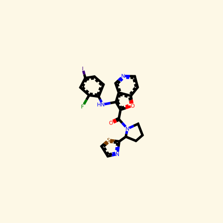 O=C(c1oc2ccncc2c1Nc1ccc(I)cc1F)N1CCCC1c1nccs1